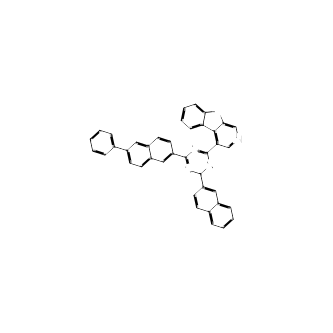 c1ccc(-c2ccc3cc(C4=NC(c5ccc6ccccc6c5)NC(c5cncc6oc7ccccc7c56)=N4)ccc3c2)cc1